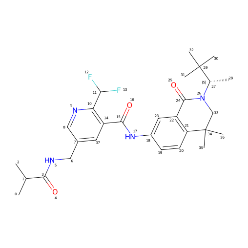 CC(C)C(=O)NCc1cnc(C(F)F)c(C(=O)Nc2ccc3c(c2)C(=O)N([C@@H](C)C(C)(C)C)CC3(C)C)c1